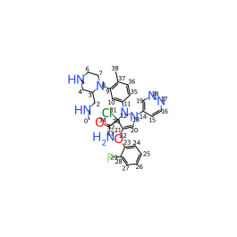 CNCC1CNCCN1c1cc(N2N(c3ccnnc3)C=C(Oc3ccccc3F)C2(Cl)C(N)=O)ccc1C